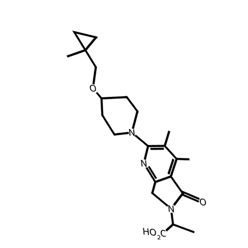 Cc1c(N2CCC(OCC3(C)CC3)CC2)nc2c(c1C)C(=O)N(C(C)C(=O)O)C2